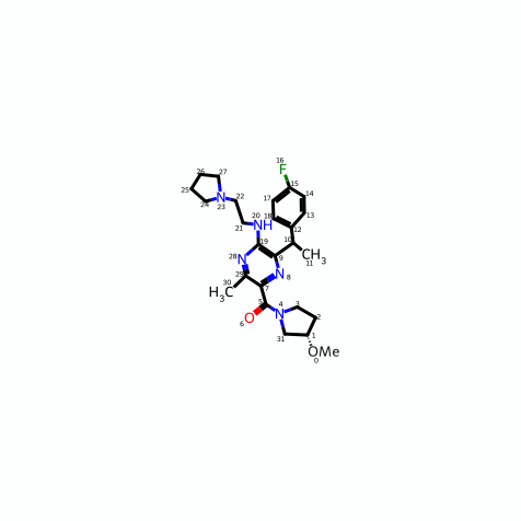 CO[C@H]1CCN(C(=O)c2nc(C(C)c3ccc(F)cc3)c(NCCN3CCCC3)nc2C)C1